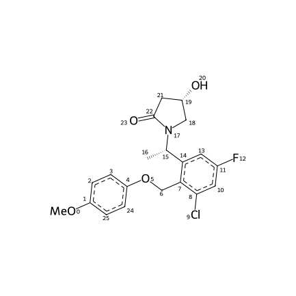 COc1ccc(OCc2c(Cl)cc(F)cc2[C@H](C)N2C[C@@H](O)CC2=O)cc1